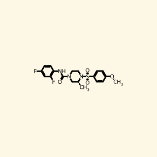 COc1ccc(S(=O)(=O)N2CCN(C(=O)Nc3ccc(F)cc3F)C[C@@H]2C)cc1